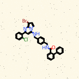 O=C(NCc1ccc(CNc2cc(-c3ccccc3Cl)nc3c(Br)ccn23)cc1)c1ccccc1-c1ccccc1